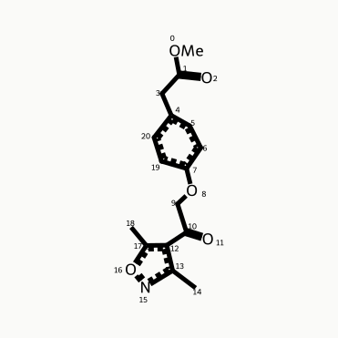 COC(=O)Cc1ccc(OCC(=O)c2c(C)noc2C)cc1